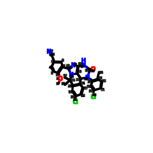 COc1ccc(C#N)cc1-c1nc2c3n1C(C)(C)c1cc(Cl)ccc1C3N(c1cc(Cl)ccc1C)C(=O)N2